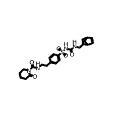 O=C(NCC1CC2C=CC1C2)NS(=O)(=O)c1ccc(CCNC(=O)N2CCCCC2=O)cc1